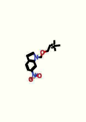 C[Si](C)(C)CCOCn1ccc2ccc([N+](=O)[O-])cc21